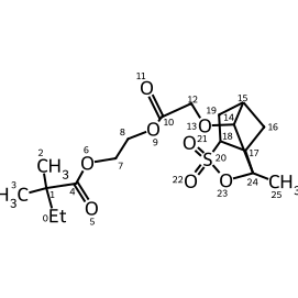 CCC(C)(C)C(=O)OCCOC(=O)COC1C2CC3C(C2)S(=O)(=O)OC31C